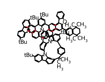 CC(C)(C)c1cc(-c2ccccc2)c(N2c3cc(-n4c5cc(C(C)(C)C)ccc5c5ccc(C(C)(C)C)cc54)ccc3B3c4ccc5cc4N(c4cc(-c6cc(-c7ccc8c(c7)C(C)(C)CCC8(C)C)c7oc8ccccc8c7c6)cc2c43)c2c(-c3ccccc3)cc(C(C)(C)C)cc2-c2ccc(cc2)C(C)(C)c2ccc3c4ccc(C(C)(C)C)cc4n-5c3c2)c(-c2ccccc2)c1